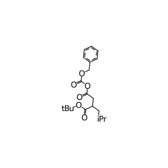 CC(C)CC(CC(=O)OC(=O)OCc1ccccc1)C(=O)OC(C)(C)C